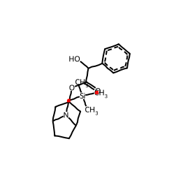 C[Si](C)(C)CN1C2CCC1CC(OC(=O)C(O)c1ccccc1)C2